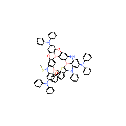 CSN1c2cc3c(cc2B2c4sc5ccccc5c4Oc4cc(N(c5ccccc5)c5ccccc5)cc1c42)B1c2cc4c(cc2Oc2cc(N(c5ccccc5)c5ccccc5)cc(c21)O3)Nc1cc(N(c2ccccc2)c2ccccc2)cc2c1B4c1sc3ccccc3c1N2c1ccccc1